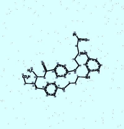 COc1ccnc(NCCCOc2ccc(C[C@@H](CC(=O)O)C(C)CC(=O)c3ccc(OCCCCC(=O)C(C)C)cc3)cc2)c1